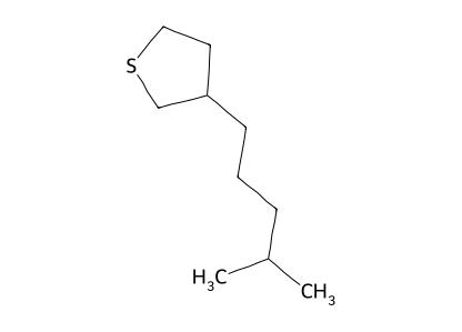 CC(C)CCCC1CCSC1